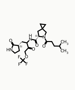 CC(C)CCC(=O)N1CC2(CC2)C[C@H]1C(=O)NC(C[C@@H]1CCNC1=O)C(=O)COC(F)(F)F